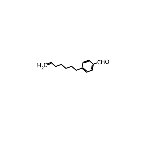 C=CCCCCCc1ccc(C=O)cc1